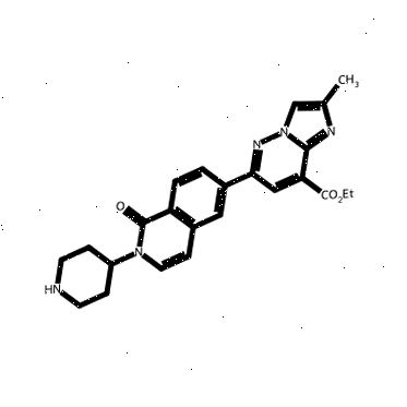 CCOC(=O)c1cc(-c2ccc3c(=O)n(C4CCNCC4)ccc3c2)nn2cc(C)nc12